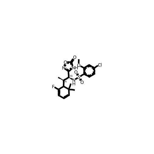 COc1cc(Cl)ccc1S(=O)(=O)N[C@H](c1noc(=O)[nH]1)[C@H](C)C1C(F)=CC=CC1(C)C